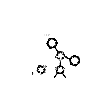 Br.Cc1nc(-n2nc(-c3ccccc3)n[n+]2-c2ccccc2)sc1C.[Br-].c1nnn[nH]1